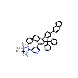 CC1(C)N=C(c2cncc(-c3cc4c(c5ccccc35)-c3ccc(-c5ccc6ccccc6c5)cc3C4(c3ccccc3)c3ccccc3)c2)N(c2ccccc2)C1(C)C